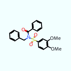 COc1ccc(S(=O)(=O)N(Cc2ccccc2)C(=O)c2ccccc2)cc1OC